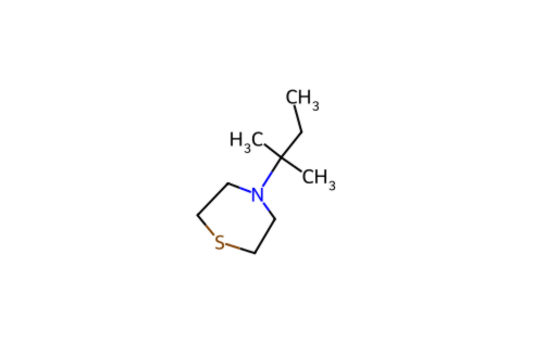 CCC(C)(C)N1CCSCC1